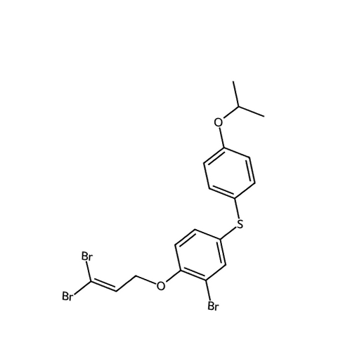 CC(C)Oc1ccc(Sc2ccc(OCC=C(Br)Br)c(Br)c2)cc1